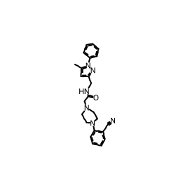 Cc1cc(CNC(=O)CN2CCN(c3ccccc3C#N)CC2)nn1-c1ccccc1